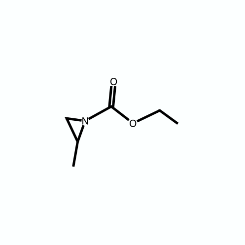 CCOC(=O)N1CC1C